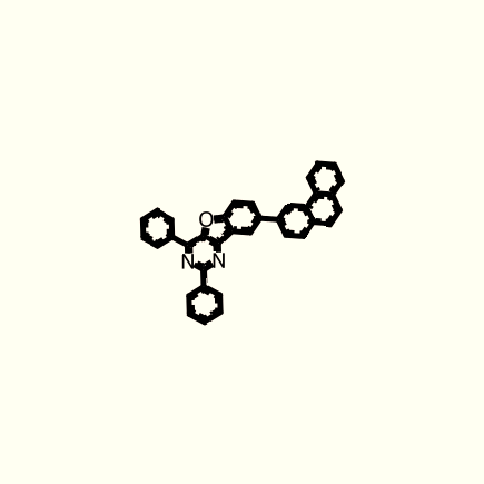 c1ccc(-c2nc(-c3ccccc3)c3oc4ccc(-c5ccc6ccc7ccccc7c6c5)cc4c3n2)cc1